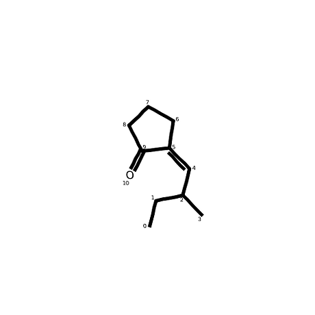 CCC(C)C=C1CCCC1=O